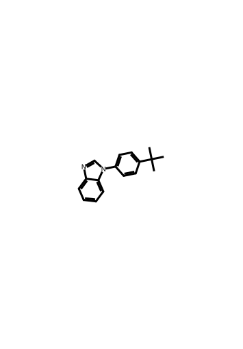 CC(C)(C)c1ccc(-n2cnc3ccccc32)cc1